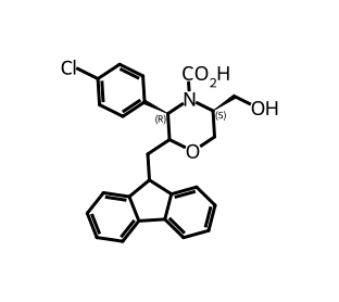 O=C(O)N1[C@@H](CO)COC(CC2c3ccccc3-c3ccccc32)[C@H]1c1ccc(Cl)cc1